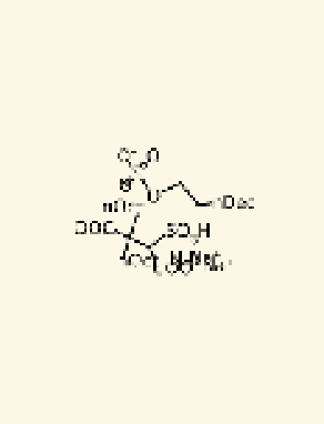 CCCCCCCCC(CCCCCCCC)(C(=O)[O-])C(C(=O)[O-])S(=O)(=O)O.CCCCCCCCCCCCOS(=O)(=O)[O-].[Na+].[Na+].[Na+]